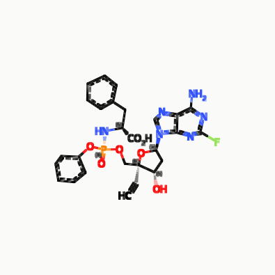 C#C[C@]1(CO[P@](=O)(N[C@@H](Cc2ccccc2)C(=O)O)Oc2ccccc2)O[C@@H](n2cnc3c(N)nc(F)nc32)C[C@@H]1O